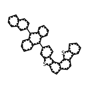 c1ccc2cc(-c3c4ccccc4c(-c4ccc5c(c4)sc4ccc6ccc7c8ccccc8sc7c6c45)c4ccccc34)ccc2c1